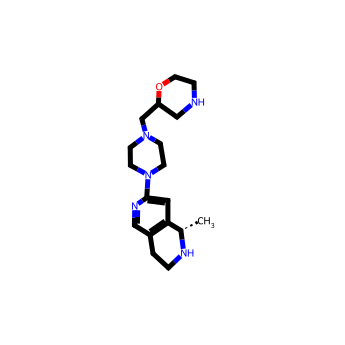 C[C@@H]1NCCc2cnc(N3CCN(CC4CNCCO4)CC3)cc21